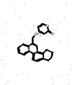 CCc1cc2c3c(ccc2c2ccccc12)CCCC3.O=c1cccco1